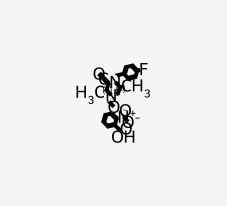 C[C@@H]1CN(COc2cccc(C(=O)O)c2[N+](=O)[O-])[C@@H](C)C(=C=O)N1Cc1ccc(F)cc1